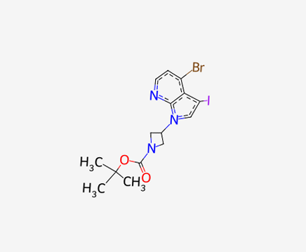 CC(C)(C)OC(=O)N1CC(n2cc(I)c3c(Br)ccnc32)C1